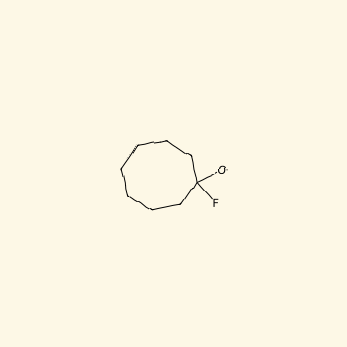 [O]C1(F)CCCCCCC1